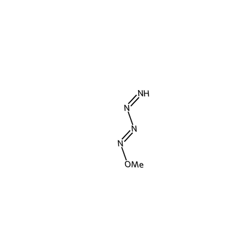 CON=NN=N